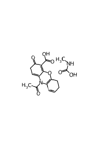 CC(=O)N1C2=CCC(=O)C(C(=O)O)=C2OC2=C1C=CCC2.CNC(=O)O